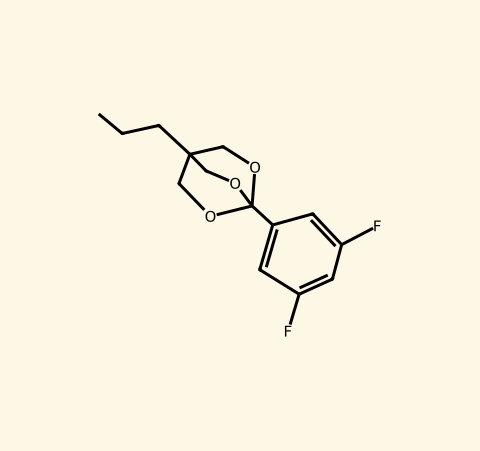 CCCC12COC(c3cc(F)cc(F)c3)(OC1)OC2